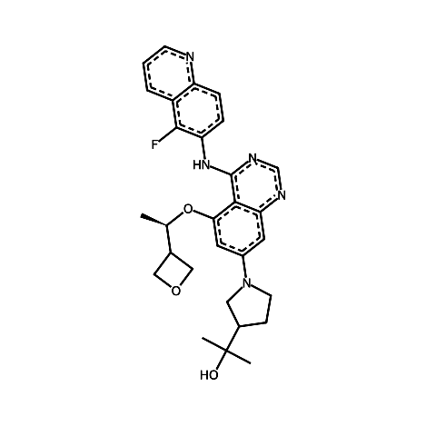 C[C@@H](Oc1cc(N2CCC(C(C)(C)O)C2)cc2ncnc(Nc3ccc4ncccc4c3F)c12)C1COC1